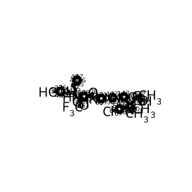 Cc1c(C(=O)NS(C)(=O)=O)c(-c2cccc(N3CCN(c4ccc(NC(=O)c5ccc(N[C@@H](CCN6CCC(O)CC6)CSc6ccccc6)c(S(=O)(=O)C(F)(F)F)c5)cc4)CC3)c2)c(-c2ccc(Cl)cc2)n1C